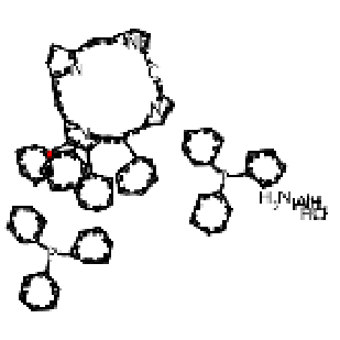 C1=Cc2cc3c(-c4ccccc4)c(-c4ccccc4)c(c(-c4ccccc4)c4nc(cc5ccc(cc1n2)[nH]5)C=C4)n3-c1ccccc1.Cl.Cl.N.[AlH3].c1ccc(P(c2ccccc2)c2ccccc2)cc1.c1ccc(P(c2ccccc2)c2ccccc2)cc1